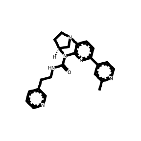 Cc1cc(-c2ccc3c(n2)N(C(=O)NCCc2cccnc2)[C@H]2CCN3C2)ccn1